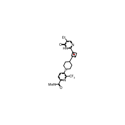 CCc1cnc(C23CC(C2)N(C2CCN(c4ccc(C(=O)NC)nc4C(F)(F)F)CC2)C3)[nH]c1=O